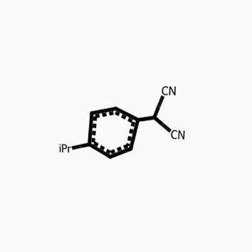 CC(C)c1ccc(C(C#N)C#N)cc1